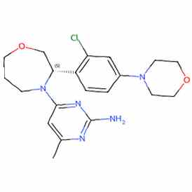 Cc1cc(N2CCCOC[C@@H]2c2ccc(N3CCOCC3)cc2Cl)nc(N)n1